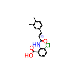 Cc1ccc(/C=C/C(=O)Nc2c(Cl)cccc2C(=O)O)cc1C